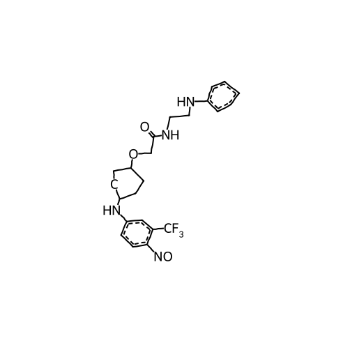 O=Nc1ccc(NC2CCC(OCC(=O)NCCNc3ccccc3)CC2)cc1C(F)(F)F